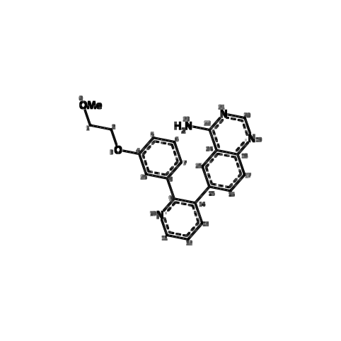 COCCOc1cccc(-c2ncccc2-c2ccc3ncnc(N)c3c2)c1